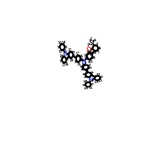 C[Si](C)(C)c1cccc2c1oc1cc(N(c3ccc(-c4ccc5c(c4)c4ccccc4n5-c4ccccc4)cc3)c3ccc(-c4ccc5c(c4)c4ccccc4n5-c4ccccc4)cc3)ccc12